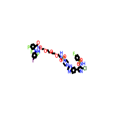 O=C(NOCCOCCOCCOCCNS(=O)(=O)N1CCN(c2cnc3ccc(-c4cnc(Cl)c(NS(=O)(=O)c5ccc(F)cc5)c4)cc3n2)CC1)c1ccc(F)c(F)c1Nc1ccc(I)cc1F